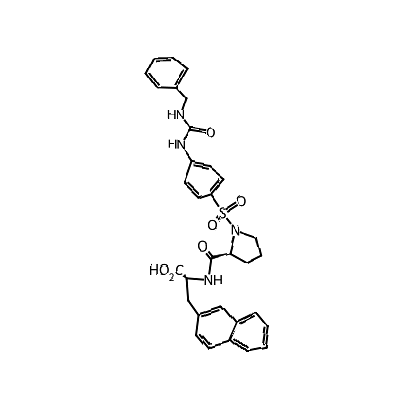 O=C(NCc1ccccc1)Nc1ccc(S(=O)(=O)N2CCC[C@H]2C(=O)N[C@@H](Cc2ccc3ccccc3c2)C(=O)O)cc1